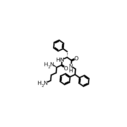 NCCC[C@@H](N)C(=O)N[C@H](Cc1ccccc1)C(=O)NCC(c1ccccc1)c1ccccc1